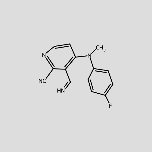 CN(c1ccc(F)cc1)c1ccnc(C#N)c1C=N